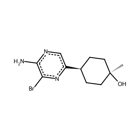 C[C@]1(O)CC[C@@H](c2cnc(N)c(Br)n2)CC1